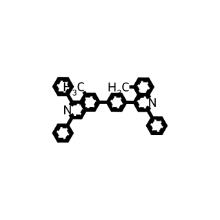 Cc1cc(-c2ccc(-c3cc(-c4ccccc4)nc4cccc(C)c34)cc2)cc2cc(-c3ccccc3)nc(-c3ccccc3)c12